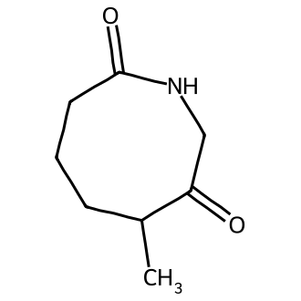 CC1CCCC(=O)NCC1=O